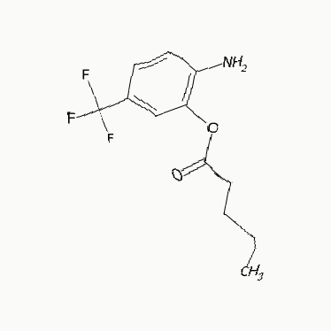 CCCCC(=O)Oc1cc(C(F)(F)F)ccc1N